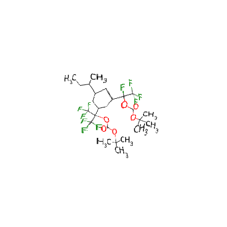 CCC(C)C1CC(C(F)(OC(=O)OC(C)(C)C)C(F)(F)F)CC(C(OC(=O)OC(C)(C)C)(C(F)(F)F)C(F)(F)F)C1